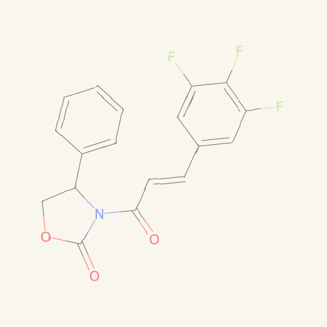 O=C(/C=C/c1cc(F)c(F)c(F)c1)N1C(=O)OCC1c1ccccc1